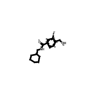 O=C(NCC1CCCCC1)c1ccc(CO)c(F)c1